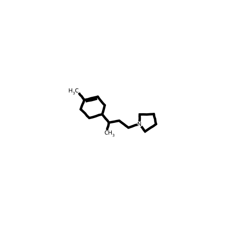 CC1=CCC(C(C)CCN2CCCC2)CC1